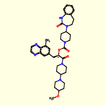 COC1CCN(C2CCN(C(=O)[C@@H](Cc3cc(C)c4nccnc4c3)OC(=O)N3CCC(N4CCc5ccccc5NC4=O)CC3)CC2)CC1